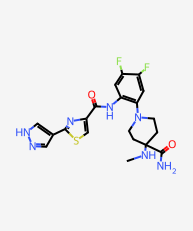 CNC1(C(N)=O)CCN(c2cc(F)c(F)cc2NC(=O)c2csc(-c3cn[nH]c3)n2)CC1